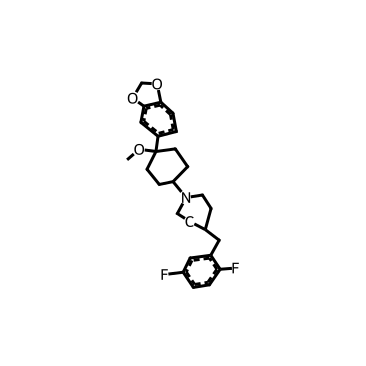 COC1(c2ccc3c(c2)OCO3)CCC(N2CCC(Cc3cc(F)ccc3F)CC2)CC1